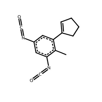 Cc1c(N=C=O)cc(N=C=O)cc1C1=CCCC1